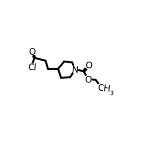 CCOC(=O)N1CCC(CCC(=O)Cl)CC1